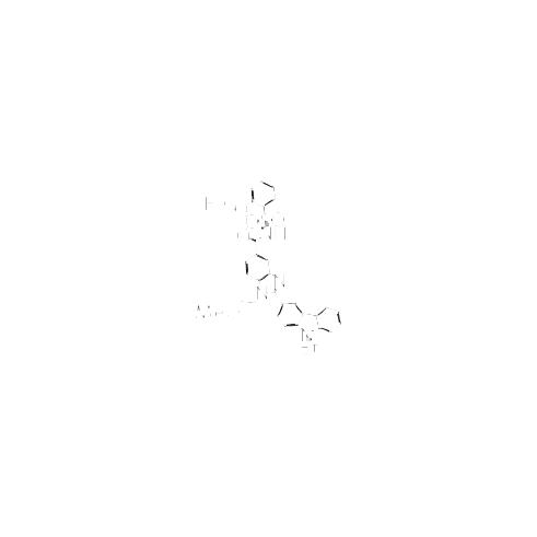 CCn1c2ccccc2c2cc(-c3nc4cc(C(=O)NS(=O)(=O)c5ccccc5OC(F)(F)F)ccc4n3CCOC)ccc21